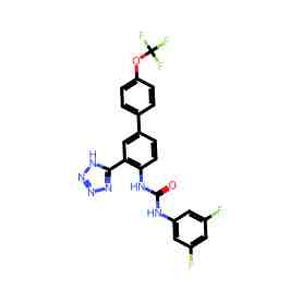 O=C(Nc1cc(F)cc(F)c1)Nc1ccc(-c2ccc(OC(F)(F)F)cc2)cc1-c1nnn[nH]1